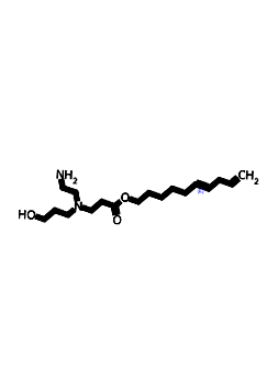 C=CC/C=C/CCCCCOC(=O)CCN(CCN)CCCO